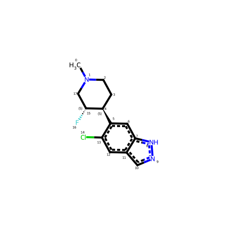 CN1CC[C@@H](c2cc3[nH]ncc3cc2Cl)[C@H](F)C1